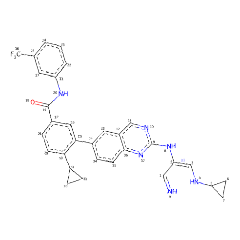 N=C/C(=C\NC1CC1)Nc1ncc2cc(-c3cc(C(=O)Nc4cccc(C(F)(F)F)c4)ccc3C3CC3)ccc2n1